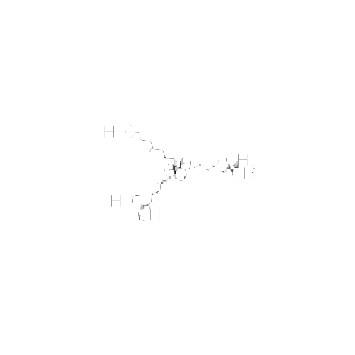 CCCCCCCCP(=O)(OCCCCCC(C)C)OCCCCCC(C)C